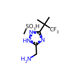 CC(C)(c1n[nH]c(CN)n1)C(F)(F)F.CS(=O)(=O)O